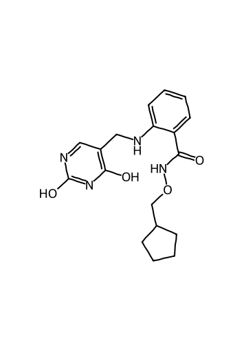 O=C(NOCC1CCCC1)c1ccccc1NCc1cnc(O)nc1O